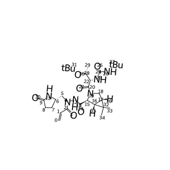 C=CC(=O)N(C[C@@H]1CCC(=O)N1)NC(=O)[C@@H]1[C@@H]2[C@H](CN1C(=O)[C@@H](NC(=O)NC(C)(C)C)[C@@H](C)OC(C)(C)C)C2(C)C